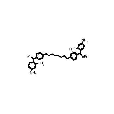 CCCC(c1ccc(CCCCCCCCc2ccc(C(CCC)c3ccc(N)cc3C)cc2)cc1)c1ccc(N)cc1C